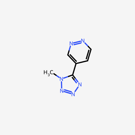 Cn1nnnc1-c1ccnnc1